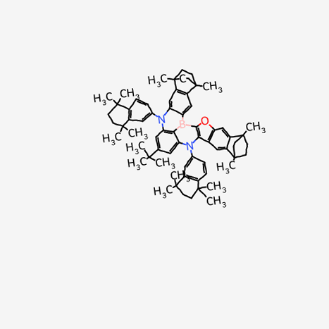 CC(C)(C)c1cc2c3c(c1)N(c1ccc4c(c1)C(C)(C)CCC4(C)C)c1c(oc4cc5c(cc14)C1(C)CCC5(C)CC1)B3c1cc3c(cc1N2c1ccc2c(c1)C(C)(C)CCC2(C)C)C1(C)CCC3(C)CC1